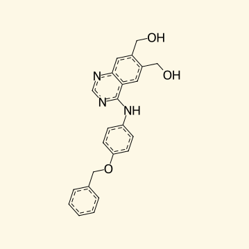 OCc1cc2ncnc(Nc3ccc(OCc4ccccc4)cc3)c2cc1CO